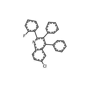 Fc1ccccc1-c1nc2ccc(Cl)cc2c(-c2ccccc2)c1-c1ccccc1